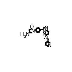 CN(Cc1cccnc1)c1ccc2ncc(-c3ccc(N4C[C@@H](N)CC4=O)cc3)n2n1